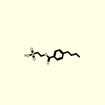 CCCCc1ccc(C(=O)OCCS(=O)(=O)O)cc1